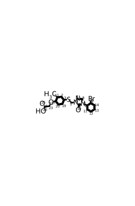 Cc1cc(SCn2ncn(-c3ccccc3Br)c2=O)ccc1OCC(=O)O